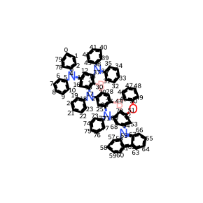 c1ccc(N(c2ccccc2)c2cc3c4c(c2)N(c2ccccc2)c2cc5c(cc2B4c2ccccc2N3c2ccccc2)B2c3ccccc3Oc3cc(-n4c6ccccc6c6ccccc64)cc(c32)N5c2ccccc2)cc1